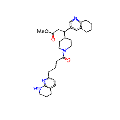 COC(=O)CC(c1cnc2c(c1)CCCC2)C1CCN(C(=O)CCCc2ccc3c(n2)NCCC3)CC1